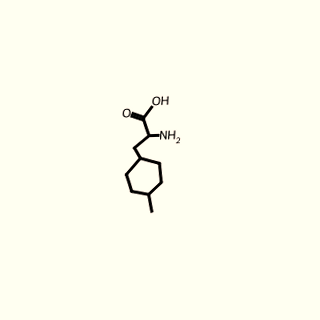 CC1CCC(CC(N)C(=O)O)CC1